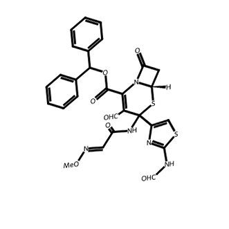 CON=CC(=O)NC1(c2csc(NC=O)n2)S[C@H]2CC(=O)N2C(C(=O)OC(c2ccccc2)c2ccccc2)=C1C=O